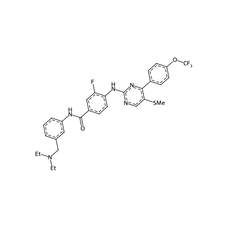 CCN(CC)Cc1cccc(NC(=O)c2ccc(Nc3ncc(SC)c(-c4ccc(OC(F)(F)F)cc4)n3)c(F)c2)c1